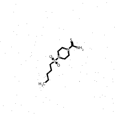 CCCCCS(=O)(=O)N1CCN(C(N)=S)CC1